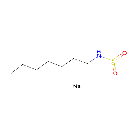 CCCCCCCN[SH](=O)=O.[Na]